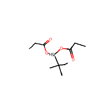 CCC(=O)O[SiH](OC(=O)CC)C(C)(C)C